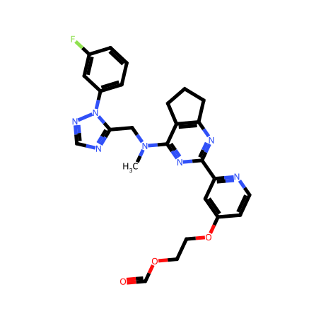 CN(Cc1ncnn1-c1cccc(F)c1)c1nc(-c2cc(OCCOC=O)ccn2)nc2c1CCC2